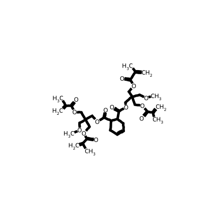 C=C(C)C(=O)OCC(COC)(COC(=O)C(=C)C)COC(=O)C1CC=CCC1C(=O)OCC(COC)(COC(=O)C(=C)C)COC(=O)C(=C)C